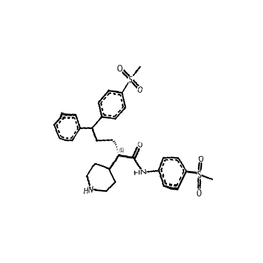 CS(=O)(=O)c1ccc(NC(=O)[C@@H](CCC(c2ccccc2)c2ccc(S(C)(=O)=O)cc2)C2CCNCC2)cc1